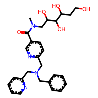 CN(CC(O)C(O)C(O)CCO)C(=O)c1ccc(CN(Cc2ccccc2)Cc2ccccn2)nc1